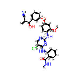 C=C(C#N)C(O)c1cccc(Oc2ccc(Nc3ncc(Cl)c(Nc4ccccc4C(=O)NC)n3)c(OC)c2)c1